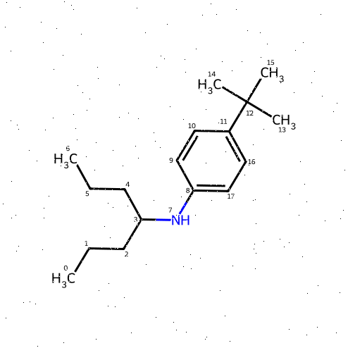 CCCC(CCC)Nc1ccc(C(C)(C)C)cc1